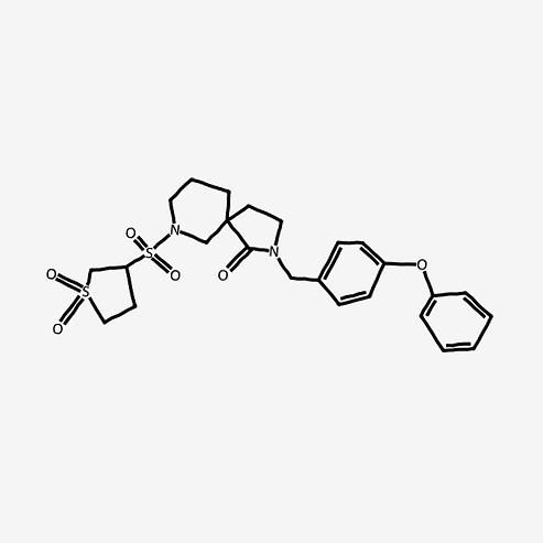 O=C1N(Cc2ccc(Oc3ccccc3)cc2)CCC12CCCN(S(=O)(=O)C1CCS(=O)(=O)C1)C2